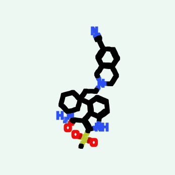 CS(=O)(=O)c1[nH]c2cccc(C3(CCN4CCc5ccc(C#N)cc5C4)CCCCC3)c2c1C(N)=O